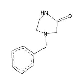 O=C1CN(Cc2ccccc2)CCN1